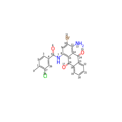 Cc1ccc(C(=O)Nc2cc(Br)c(N)c3c2C(=O)c2ccccc2C3=O)cc1Cl